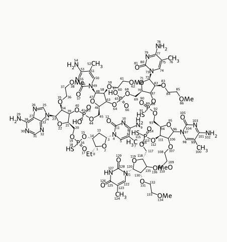 CC[C@H]1O[C@@H](n2cc(C)c(N)nc2=O)C[C@H]1OP(=O)(S)OC[C@H]1O[C@@H](n2cnc3c(N)ncnc32)[C@@H](OCCOC)C1OP(=O)(O)OC[C@H]1O[C@@H](n2cc(C)c(N)nc2=O)[C@@H](OCCOC)C1OP(=O)(O)OC[C@H]1O[C@@H](n2cc(C)c(N)nc2=O)[C@@H](OCCOC)C1OP(=O)(S)OC[C@H]1OC(n2cc(C)c(N)nc2=O)C(OCCOC)[C@H]1OP(=O)(S)OC[C@H]1O[C@@H](n2cc(C)c(=O)[nH]c2=O)[C@@H](OCCOC)C1O